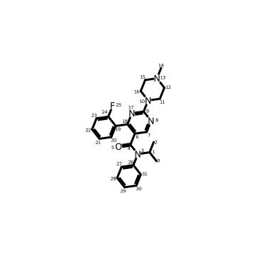 CC(C)N(C(=O)c1cnc(N2CCN(C)CC2)nc1-c1ccccc1F)c1ccccc1